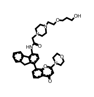 O=C(CN1CCN(CCOCCCO)CC1)Nc1ccc(-c2cccc3c(=O)cc(N4CCOCC4)oc23)c2c1-c1ccccc1C2